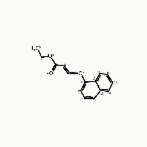 CCOC(=O)C=COc1cccc2ccccc12